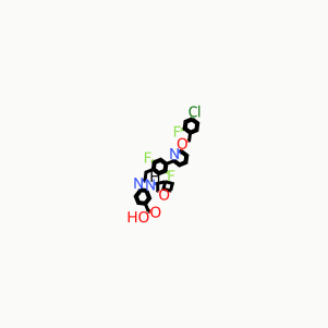 O=C(O)c1ccc2nc(Cc3cc(F)c(-c4cccc(OCc5ccc(Cl)cc5F)n4)cc3F)n([C@H]3COC4CC3C4)c2c1